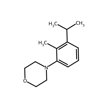 Cc1c(C(C)C)cccc1N1CCOCC1